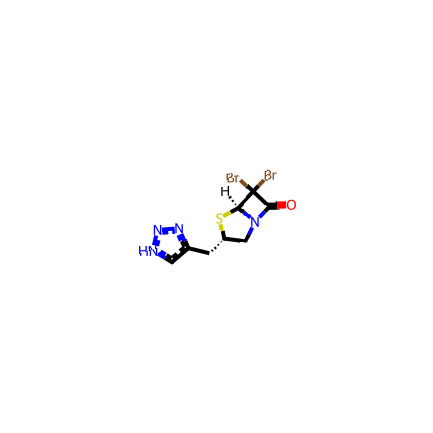 O=C1N2C[C@H](Cc3c[nH]nn3)S[C@H]2C1(Br)Br